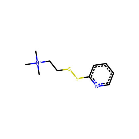 C[N+](C)(C)CCSSc1ccccn1